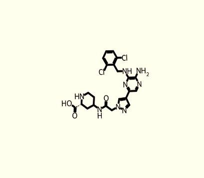 Nc1ncc(-c2cnn(CC(=O)NC3CCN[C@@H](C(=O)O)C3)c2)nc1NCc1c(Cl)cccc1Cl